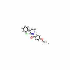 O=C(c1ccc(OCC(F)(F)F)cc1)N1CCCC(c2ccccc2Cl)C1